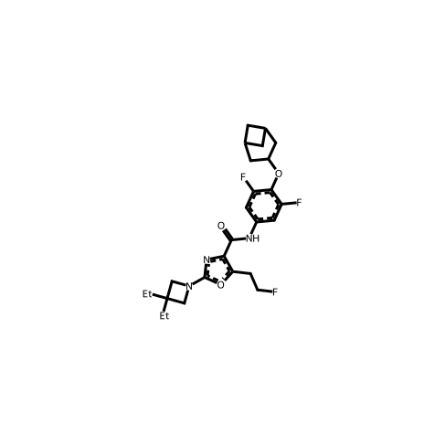 CCC1(CC)CN(c2nc(C(=O)Nc3cc(F)c(OC4CC5CC(C5)C4)c(F)c3)c(CCF)o2)C1